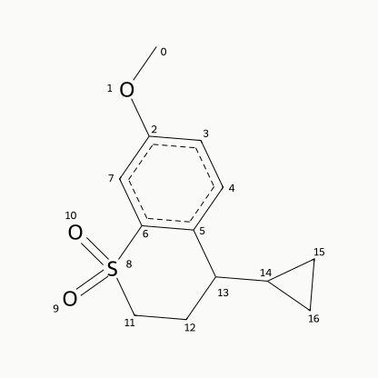 COc1ccc2c(c1)S(=O)(=O)CCC2C1CC1